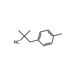 Cc1ccc(CC(C)(C)C#N)cc1